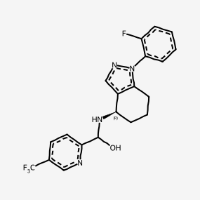 OC(N[C@@H]1CCCc2c1cnn2-c1ccccc1F)c1ccc(C(F)(F)F)cn1